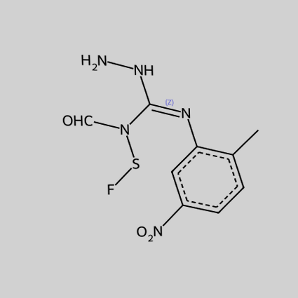 Cc1ccc([N+](=O)[O-])cc1/N=C(/NN)N(C=O)SF